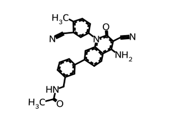 CC(=O)NCc1cccc(-c2ccc3c(N)c(C#N)c(=O)n(-c4ccc(C)c(C#N)c4)c3c2)c1